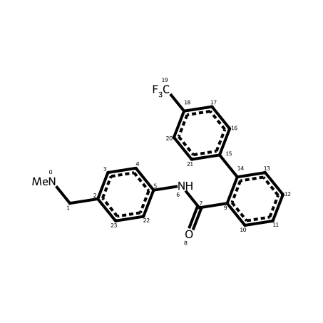 CNCc1ccc(NC(=O)c2ccccc2-c2ccc(C(F)(F)F)cc2)cc1